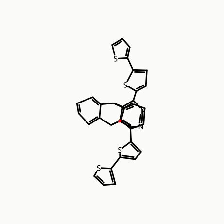 c1csc(-c2ccc(-c3nnc(-c4ccc(-c5cccs5)s4)c4c3C3c5ccccc5C4c4ccccc43)s2)c1